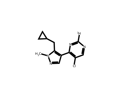 [2H]c1ncc(Cl)c(-c2cnn(C)c2CC2CC2)n1